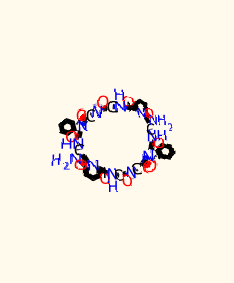 CN1CC(=O)N(C)[C@@H](C2CCCCC2)C(=O)NC[C@@H](N)C(=O)N2CCCC[C@H]2C(=O)NCC(=O)N(C)CC(=O)N(C)[C@@H](C2CCCCC2)C(=O)NC[C@@H](N)C(=O)N2CCCC[C@H]2C(=O)NCC1=O